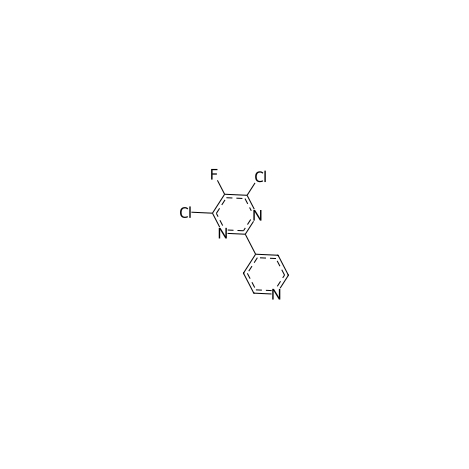 Fc1c(Cl)nc(-c2ccncc2)nc1Cl